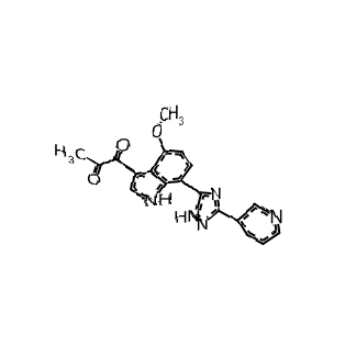 COc1ccc(-c2nc(-c3cccnc3)n[nH]2)c2[nH]cc(C(=O)C(C)=O)c12